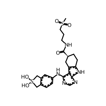 CS(=O)(=O)CCCNC(=O)[C@H]1CCc2[nH]c3ncnc(Nc4ccc5c(c4)CS(O)(O)C5)c3c2C1